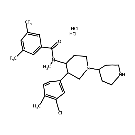 Cc1ccc(C2CN(C3CCNCC3)CCC2N(C)C(=O)c2cc(C(F)(F)F)cc(C(F)(F)F)c2)cc1Cl.Cl.Cl